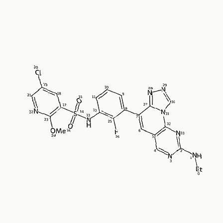 CCNc1ncc2cc(-c3cccc(NS(=O)(=O)c4cc(Cl)cnc4OC)c3F)c3nncn3c2n1